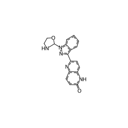 O=c1ccc2nc(-c3nn(C4NCCO4)c4ccccc34)ccc2[nH]1